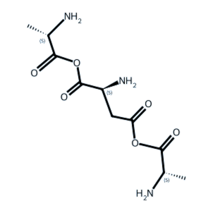 C[C@H](N)C(=O)OC(=O)C[C@H](N)C(=O)OC(=O)[C@H](C)N